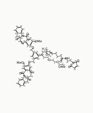 COCCOCCOCCN(CC(C)(C)SSCCCC(=O)NCCN1C(=O)C=CC1=O)c1cc(COc2cc3c(cc2OC)C(=O)N2c4ccccc4C[C@H]2C=N3)cc(COc2cc3c(cc2OC)C(=O)N2c4ccccc4C[C@H]2CN3)c1